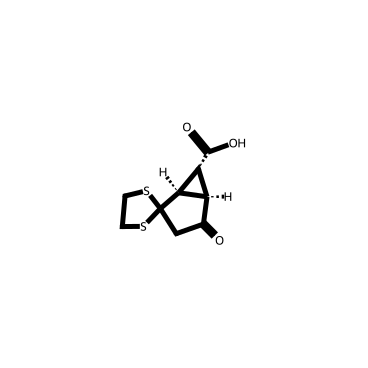 O=C(O)[C@@H]1[C@H]2C(=O)CC3(SCCS3)[C@@H]12